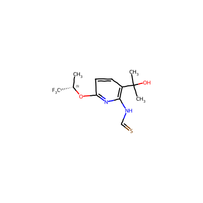 C[C@H](Oc1ccc(C(C)(C)O)c(NC=S)n1)C(F)(F)F